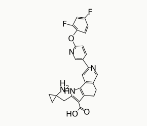 NC1(Cc2[nH]c3c(c2C(=O)O)CCc2cnc(-c4ccc(Oc5ccc(F)cc5F)nc4)cc2-3)CC1